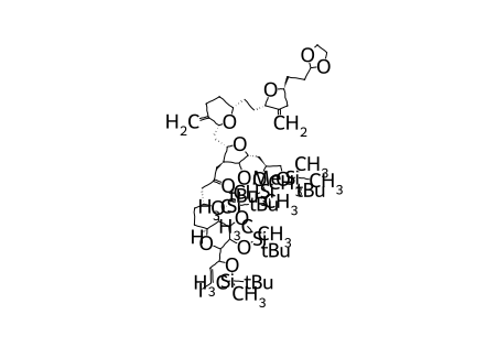 C=C1C[C@H](CCC2OCCO2)O[C@H]1CC[C@H]1CCC(=C)[C@@H](C[C@@H]2O[C@H](C[C@@H](CO[Si](C)(C)C(C)(C)C)O[Si](C)(C)C(C)(C)C)C(OC)[C@H]2CC(=O)C[C@H]2CC[C@@H]3OC(C(/C=C/I)O[Si](C)(C)C(C)(C)C)C(O[Si](C)(C)C(C)(C)C)C(O[Si](C)(C)C(C)(C)C)C3O2)O1